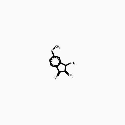 C=C1C(=C)C(C)c2cc(OC)ccc21